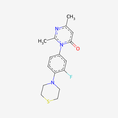 Cc1cc(=O)n(-c2ccc(N3CCSCC3)c(F)c2)c(C)n1